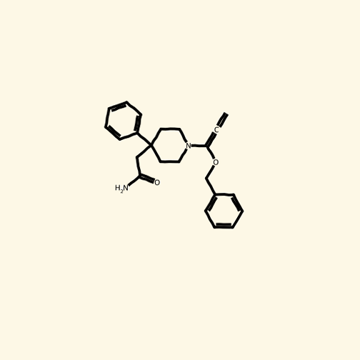 C=C=C(OCc1ccccc1)N1CCC(CC(N)=O)(c2ccccc2)CC1